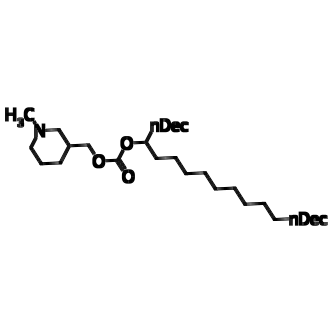 CCCCCCCCCCCCCCCCCCCC(CCCCCCCCCC)OC(=O)OCC1CCCN(C)C1